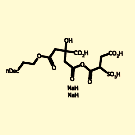 CCCCCCCCCCCCOC(=O)CC(O)(CC(=O)OC(=O)C(CC(=O)O)S(=O)(=O)O)C(=O)O.[NaH].[NaH]